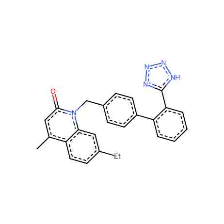 CCc1ccc2c(C)cc(=O)n(Cc3ccc(-c4ccccc4-c4nnn[nH]4)cc3)c2c1